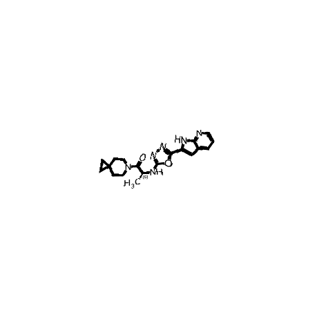 C[C@H](Nc1nnc(-c2cc3cccnc3[nH]2)o1)C(=O)N1CCC2(CC1)CC2